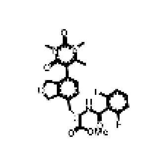 COC(=O)[C@H](Cc1ccc(-c2c(C)n(C)c(=O)n(C)c2=O)c2c1COC2)NC(=O)c1c(F)cccc1F